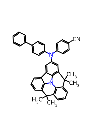 CC1(C)c2cccc3c2-n2c4c1cccc4c1cc(N(c4ccc(C#N)cc4)c4ccc(-c5ccccc5)cc4)cc(c12)C3(C)C